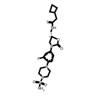 NS(=O)(=O)N1CCN(c2ccc(N3C[C@H](CNC(=S)CC4CCC4)OC3=O)cc2F)CC1